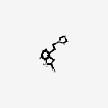 O=C1Cc2c(CCN3CCCC3)cccc2N1